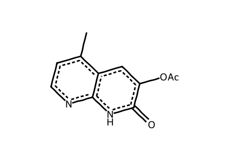 CC(=O)Oc1cc2c(C)ccnc2[nH]c1=O